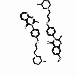 COc1ccc2c(=O)n(-c3ccc(OCCCN4CCC[C@H](C)C4)cc3)c(C)nc2c1.Cc1nc2ncccc2c(=O)n1-c1ccc(OCCCN2CCC[C@H](C)C2)cc1